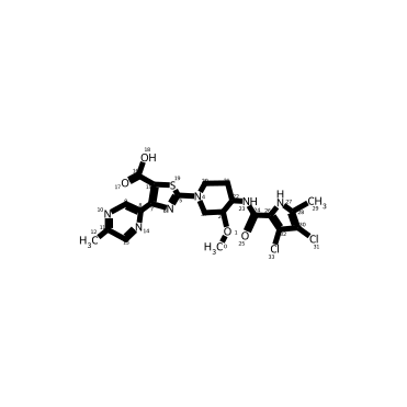 COC1CN(c2nc(-c3cnc(C)cn3)c(C(=O)O)s2)CCC1NC(=O)c1[nH]c(C)c(Cl)c1Cl